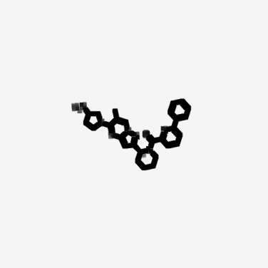 Cc1cn2nc([C@@H]3CCCCN3C(=O)c3cccc(-c4ccccc4)n3)cc2nc1N1CCC(N)C1